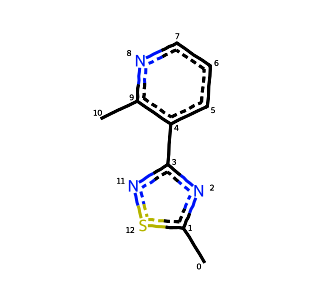 Cc1nc(-c2cccnc2C)ns1